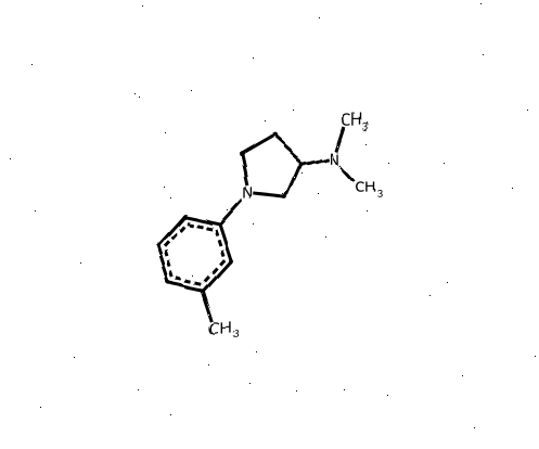 Cc1cccc(N2CCC(N(C)C)C2)c1